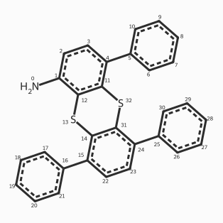 Nc1ccc(-c2ccccc2)c2c1Sc1c(-c3ccccc3)ccc(-c3ccccc3)c1S2